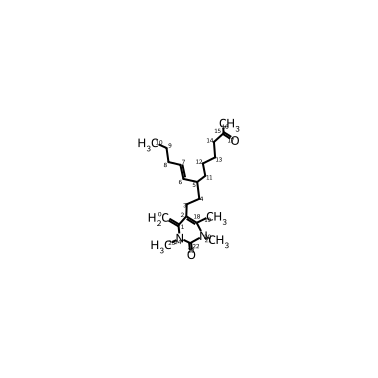 C=C1C(CCC(/C=C/CCC)CCCCC(C)=O)=C(C)N(C)C(=O)N1C